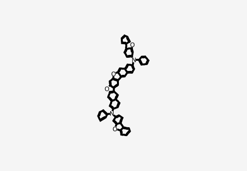 c1ccc(N(c2ccc3cc4c(cc3c2)oc2cc3oc5cc6cc(N(c7ccccc7)c7ccc8c(c7)oc7ccccc78)ccc6cc5c3cc24)c2ccc3c(c2)oc2ccccc23)cc1